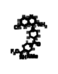 CNC1=C(C(=N)C(F)(F)F)CCN(C(=O)C2CCN(c3c(N)cnc4ccc(Cl)cc34)CC2)C1